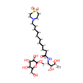 CC[C@@H](O)[C@@H](O)[C@H](COC1OC(CO)C(O)C(O)C1O)NC(=O)CCCCCCCCCCN1CCS(=O)(=O)CC1